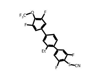 CCc1cc(-c2cc(F)c(OC(F)(F)F)c(F)c2)ccc1-c1cc(F)c(SC#N)c(F)c1